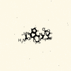 C[C@H](Nc1cc2c(c3c1CCC3)-c1nc(N3C(=O)OC[C@H]3C(F)F)cn1CCO2)C(N)=O